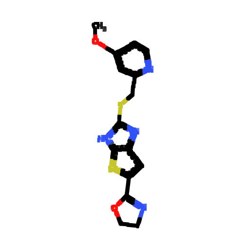 COc1ccnc(CSc2nc3cc(C4=NCCO4)sc3[nH]2)c1